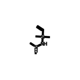 C=C[Si](C)(C)N[SiH](C)C